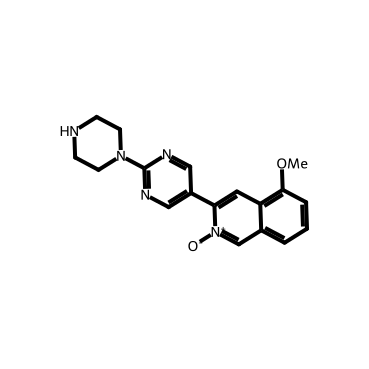 COc1cccc2c[n+]([O-])c(-c3cnc(N4CCNCC4)nc3)cc12